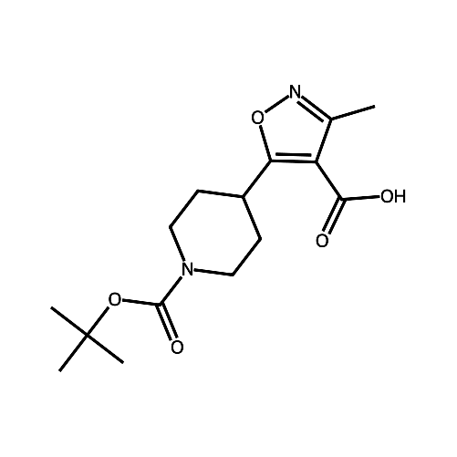 Cc1noc(C2CCN(C(=O)OC(C)(C)C)CC2)c1C(=O)O